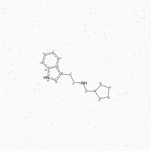 c1ccc2c(CCNCC3CCCC3)c[nH]c2c1